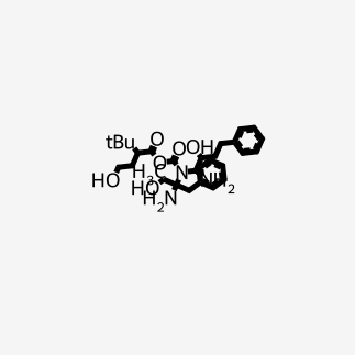 CC(O)C(N)(Cc1ccccc1)N(C(=O)OC(=O)C(CCO)C(C)(C)C)C(N)C(O)CCc1ccccc1